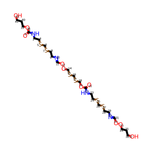 O=C(NCCSCSCC/N=C/OOCSCSCOC(=O)NCCSCSCC/N=C/OOCCCO)OCCCO